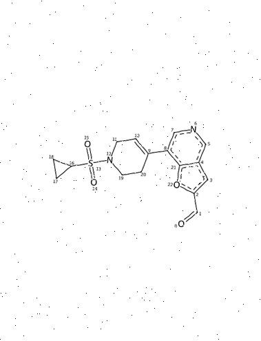 O=Cc1cc2cncc(C3=CCN(S(=O)(=O)C4CC4)CC3)c2o1